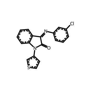 O=C1C(=Nc2cccc(Cl)c2)c2ccccc2N1c1ccsc1